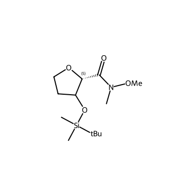 CON(C)C(=O)[C@H]1OCCC1O[Si](C)(C)C(C)(C)C